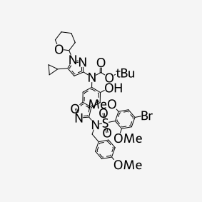 COc1ccc(CN(c2noc3cc(N(C(=O)OC(C)(C)C)c4cc(C5CC5)n(C5CCCCO5)n4)c(O)cc23)S(=O)(=O)c2c(OC)cc(Br)cc2OC)cc1